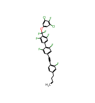 C=CCCc1ccc(C#Cc2cc(F)c(-c3cc(F)c(C(F)(F)Oc4cc(Cl)c(F)c(Cl)c4)c(F)c3)c(F)c2)c(F)c1